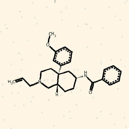 C=CCN1CC[C@@]2(c3cccc(OC)c3)C[C@H](NC(=O)c3ccccc3)CC[C@@H]2C1